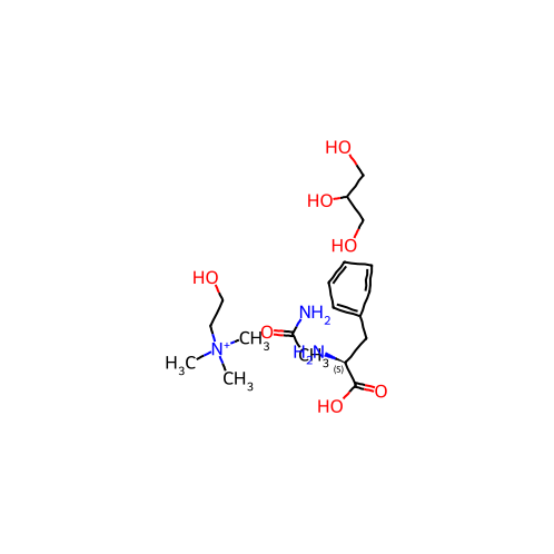 CC(N)=O.C[N+](C)(C)CCO.N[C@@H](Cc1ccccc1)C(=O)O.OCC(O)CO